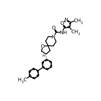 Cc1ccc(-c2cccc([C@@H]3COC4(CCN(C(=O)Nc5onc(C)c5C)CC4)C3)c2)cc1